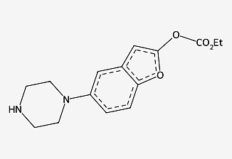 CCOC(=O)Oc1cc2cc(N3CCNCC3)ccc2o1